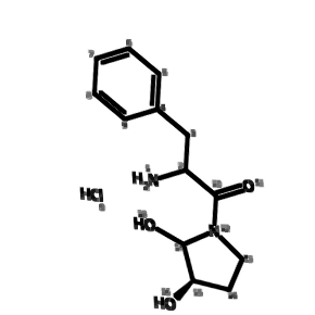 Cl.NC(Cc1ccccc1)C(=O)N1CC[C@@H](O)C1O